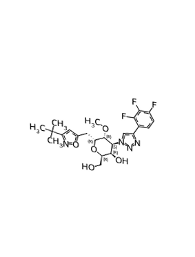 CO[C@@H]1[C@@H](n2cc(-c3ccc(F)c(F)c3F)nn2)[C@@H](O)[C@@H](CO)O[C@@H]1Cc1cc(C(C)(C)C)no1